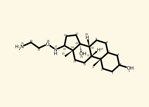 C[C@]12CCC(O)CC1CC[C@@H]1[C@H]2CC[C@]2(C)C(NOCCN)CC[C@@]12O